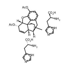 CC(=O)Oc1ccc2c3c1O[C@H]1[C@@H](OC(C)=O)C=C[C@H]4[C@@H](C2)N(C)CC[C@@]341.N[C@@H](Cc1cnc[nH]1)C(=O)O.N[C@H](Cc1cnc[nH]1)C(=O)O